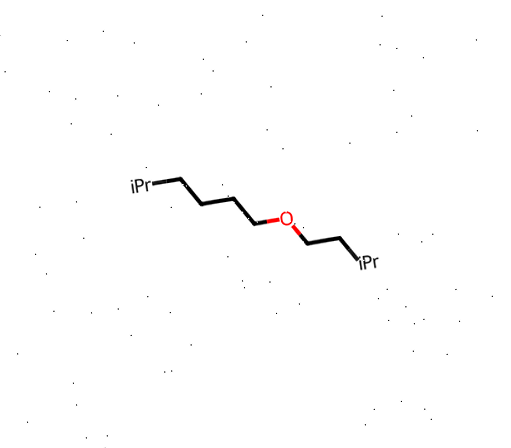 CC(C)CCCCOCCC(C)C